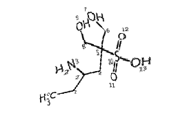 CCC(N)CC(CO)(CO)S(=O)(=O)O